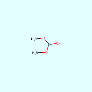 OB(O[SiH3])O[SiH3]